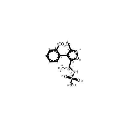 CCOC(=O)c1ccccc1-c1c(C)noc1[C@H](NS(=O)(=O)C(C)(C)C)C(F)(F)F